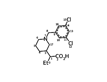 CCC(C(=O)O)C1CCCN(Cc2cc(Cl)cc(Cl)c2)C1